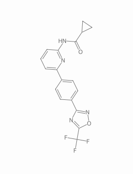 O=C(Nc1cccc(-c2ccc(-c3noc(C(F)(F)F)n3)cc2)n1)C1CC1